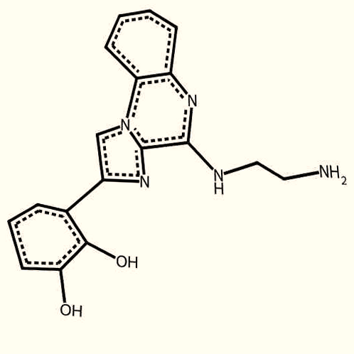 NCCNc1nc2ccccc2n2cc(-c3cccc(O)c3O)nc12